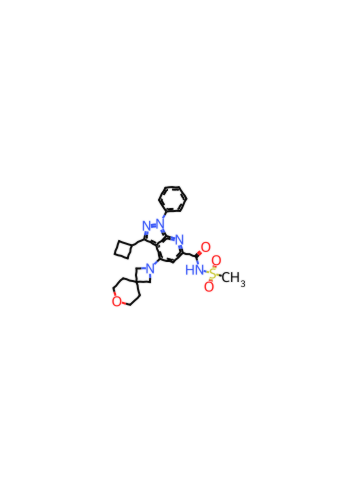 CS(=O)(=O)NC(=O)c1cc(N2CC3(CCOCC3)C2)c2c(C3CCC3)nn(-c3ccccc3)c2n1